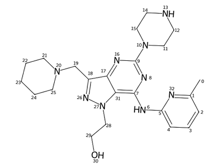 Cc1cccc(Nc2nc(N3CCNCC3)nc3c(CN4CCCCC4)nn(CCO)c23)n1